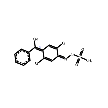 CS(=O)(=O)O/N=C1C=C(Cl)/C(=C(/C#N)c2ccccc2)C=C/1Cl